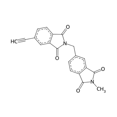 C#Cc1ccc2c(c1)C(=O)N(Cc1ccc3c(c1)C(=O)N(C)C3=O)C2=O